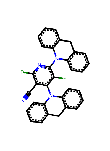 N#Cc1c(F)nc(N2c3ccccc3Cc3ccccc32)c(F)c1N1c2ccccc2Cc2ccccc21